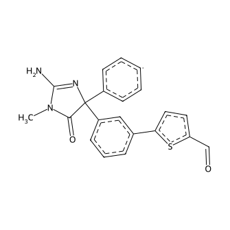 CN1C(=O)C(c2cc[c]cc2)(c2cccc(-c3ccc(C=O)s3)c2)N=C1N